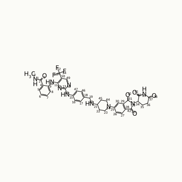 CNC(=O)c1ccccc1Nc1nc(Nc2ccc(CNC3CCN(c4ccc5c(c4)C(=O)N(C4CCC(=O)NC4=O)C5=O)CC3)cc2)ncc1C(F)(F)F